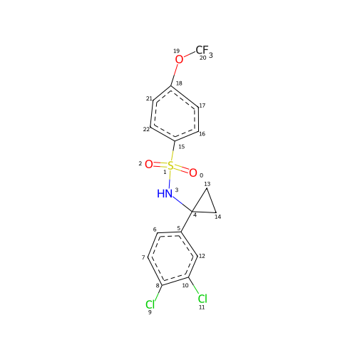 O=S(=O)(NC1(c2ccc(Cl)c(Cl)c2)CC1)c1ccc(OC(F)(F)F)cc1